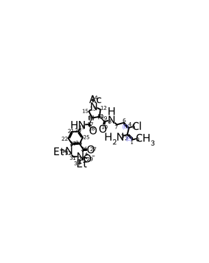 C/C=C(N)\C(Cl)=C/CNC(=O)[C@@H]1CN(C(C)=O)C[C@@H]1C(=O)Nc1ccc2c(c1)C(=O)[N+]([O-])(CC)CN2CC